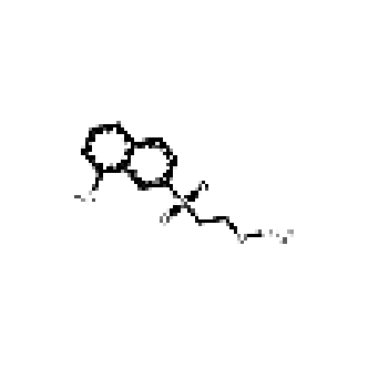 Nc1cccc2ccc(S(=O)(=O)CCOS(=O)(=O)O)cc12